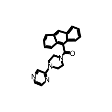 O=C(c1c2ccccc2cc2ccccc12)N1CCN(c2cnccn2)CC1